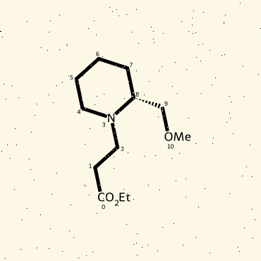 CCOC(=O)CCN1CCCC[C@@H]1COC